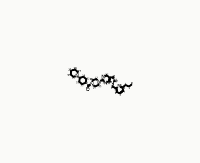 CCCc1cccc(Cn2ncc3cnc(N4CCN(C(=O)[C@H]5CC[C@H](N6CCCCC6)CC5)CC4)nc32)n1